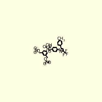 Cc1ccc(-c2cc(C(F)(F)F)nn2-c2ccc(S(=O)(=O)N(C(=O)O)c3cc(CO[N+](=O)[O-])cc(CO[N+](=O)[O-])c3)cc2)cc1